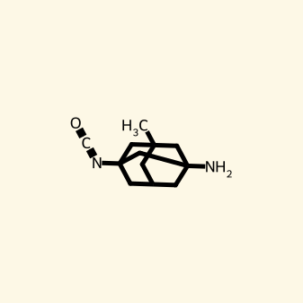 CC12CC3CC(N)(C1)CC(N=C=O)(C3)C2